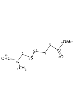 COC(=O)CCSSC[C@H](C)C=O